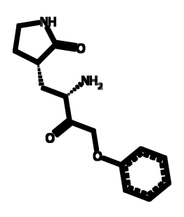 N[C@@H](C[C@@H]1CCNC1=O)C(=O)COc1ccccc1